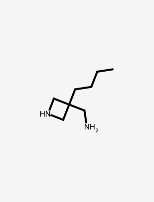 CCCCC1(CN)CNC1